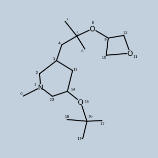 CN1CC(CC(C)(C)OC2COC2)CC(OC(C)(C)C)C1